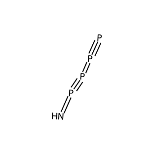 N=P#P=P#P